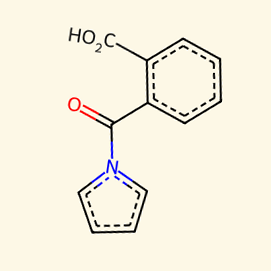 O=C(O)c1ccccc1C(=O)n1cccc1